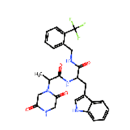 CC(C(=O)NC(Cc1c[nH]c2ccccc12)C(=O)NCc1ccccc1C(F)(F)F)N1CC(=O)NCC1=O